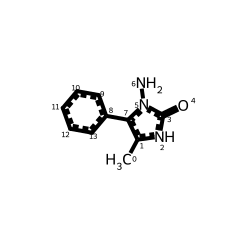 Cc1[nH]c(=O)n(N)c1-c1ccccc1